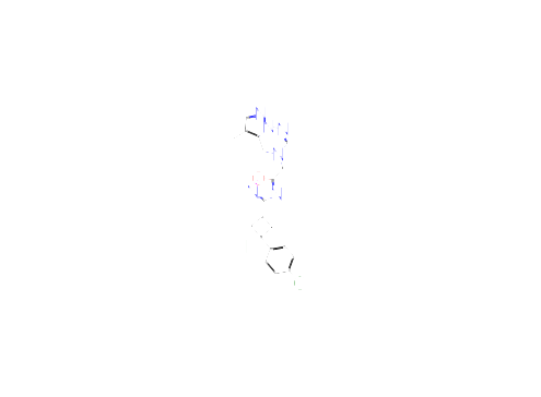 Cc1cnn2c1CN(Cc1nc([C@H]3C[C@](F)(c4ccc(Cl)cc4)C3)no1)C=N2